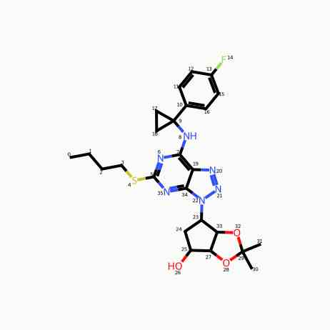 CCCCSc1nc(NC2(c3ccc(F)cc3)CC2)c2nnn(C3CC(O)C4OC(C)(C)OC43)c2n1